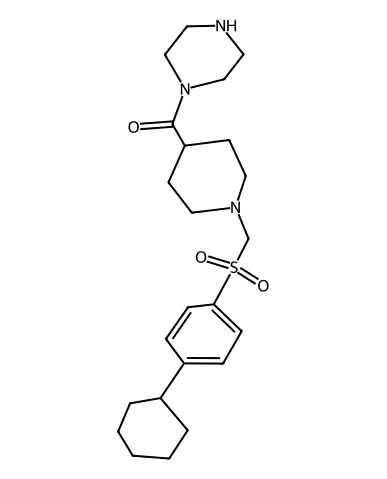 O=C(C1CCN(CS(=O)(=O)c2ccc(C3CCCCC3)cc2)CC1)N1CCNCC1